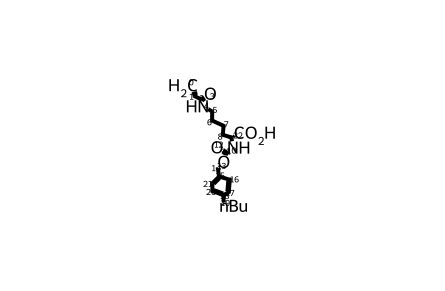 C=CC(=O)NCCCC[C@H](NC(=O)OCc1ccc(CCCC)cc1)C(=O)O